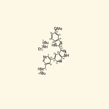 CCCCNCC.CCCCNCc1cncc(-c2cnc3[nH]nc(-c4nc5cc(OC)ccc5[nH]4)c3c2)c1